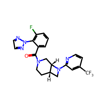 O=C(c1cccc(F)c1-n1nccn1)N1CC[C@H]2CN(c3cc(C(F)(F)F)ccn3)[C@H]2C1